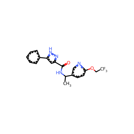 CC(NC(=O)c1cc(-c2ccccc2)[nH]n1)c1ccc(OCC(F)(F)F)nc1